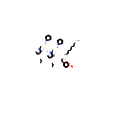 CCCCCCCC[S+]([O-])C(C)Cc1ccc2c(c1)OCO2.COCCCOc1ccnc(C[S+]([O-])c2nc3ccccc3[n-]2)c1C.COCCCOc1ccnc(C[S+]([O-])c2nc3ccccc3[nH]2)c1C.[Na+]